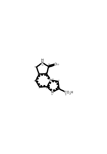 O=C(O)c1cn2c3c(ccc2n1)CNC3=O